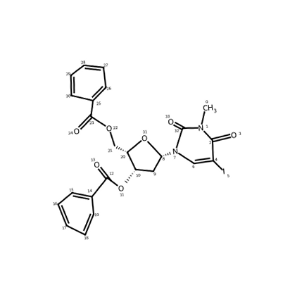 Cn1c(=O)c(I)cn([C@@H]2C[C@H](OC(=O)c3ccccc3)[C@H](COC(=O)c3ccccc3)O2)c1=O